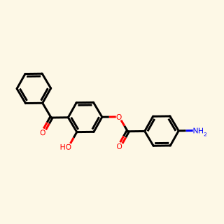 Nc1ccc(C(=O)Oc2ccc(C(=O)c3ccccc3)c(O)c2)cc1